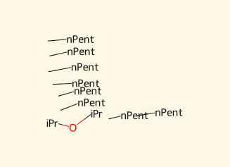 CC(C)OC(C)C.CCCCCC.CCCCCC.CCCCCC.CCCCCC.CCCCCC.CCCCCC.CCCCCC.CCCCCC